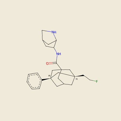 O=C(NC1CC2CNC1C2)C12CC3C[C@@](CCF)(C1)C[C@](c1ccccc1)(C3)C2